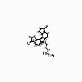 CCCNCCCn1c2ccc3c(c2c2c4c(ccc21)C(=O)CC4)CCC3=O